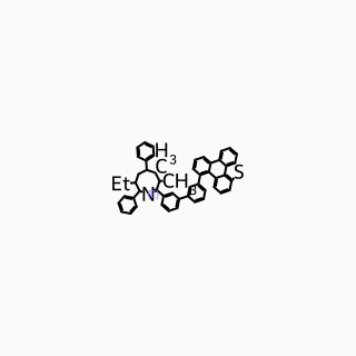 CCC1CC(c2ccccc2)C(C)C(C)/C(c2cccc(-c3cccc(-c4cccc5c6cccc7sc8cccc(c45)c8c76)c3)c2)=N\C1c1ccccc1